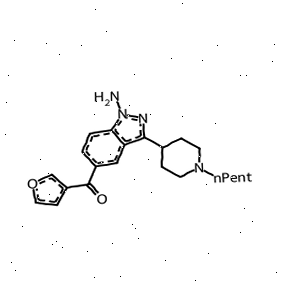 CCCCCN1CCC(c2nn(N)c3ccc(C(=O)c4ccoc4)cc23)CC1